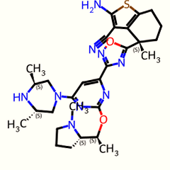 C[C@H](Oc1nc(-c2noc([C@@]3(C)CCCc4sc(N)c(C#N)c43)n2)cc(N2C[C@H](C)N[C@@H](C)C2)n1)[C@@H]1CCCN1C